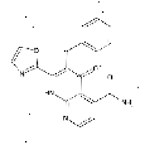 NC(=O)c1ccnc2[nH]c(-c3ncco3)c([CH]c3ccccc3)c(=O)c12